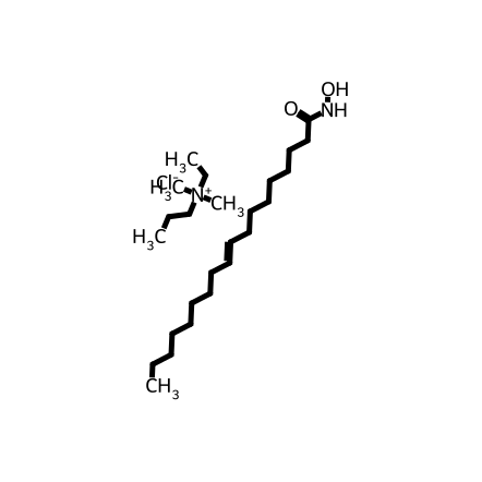 CCCCCCCCC=CCCCCCCCC(=O)NO.CCC[N+](C)(C)CC.[Cl-]